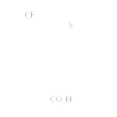 O=C(O)c1ccc(C(F)(F)F)c2c1CCCS2